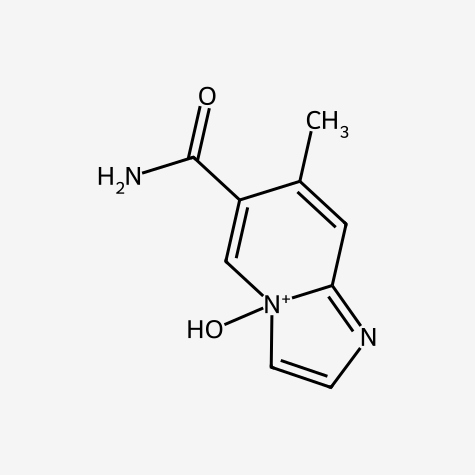 CC1=CC2=NC=C[N+]2(O)C=C1C(N)=O